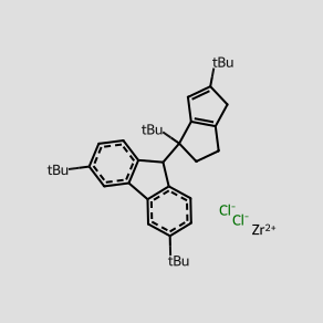 CC(C)(C)C1=CC2=C(CCC2(C2c3ccc(C(C)(C)C)cc3-c3cc(C(C)(C)C)ccc32)C(C)(C)C)C1.[Cl-].[Cl-].[Zr+2]